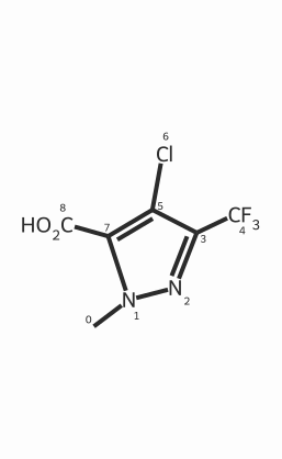 Cn1nc(C(F)(F)F)c(Cl)c1C(=O)O